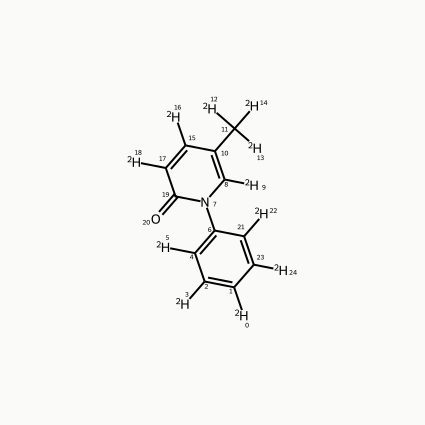 [2H]c1c([2H])c([2H])c(-n2c([2H])c(C([2H])([2H])[2H])c([2H])c([2H])c2=O)c([2H])c1[2H]